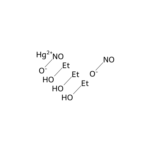 CCO.CCO.CCO.O=N[O-].O=N[O-].[Hg+2]